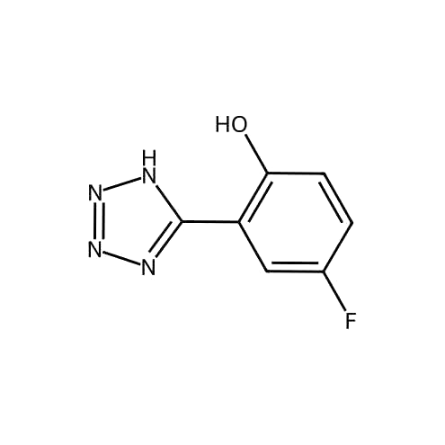 Oc1ccc(F)cc1-c1nnn[nH]1